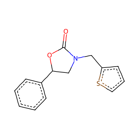 O=C1OC(c2ccccc2)CN1Cc1cccs1